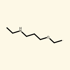 [CH2]COCCCNCC